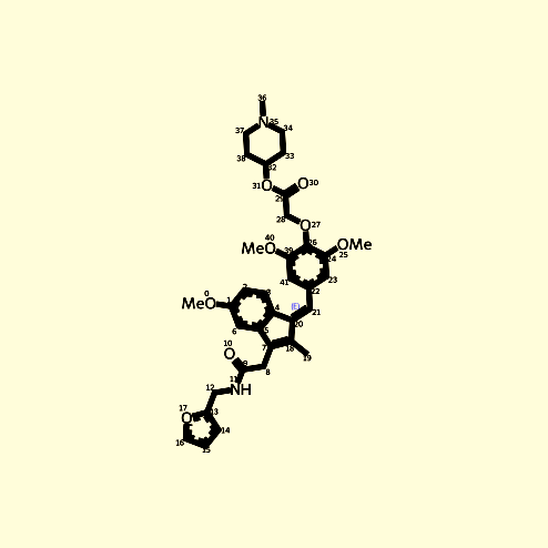 COc1ccc2c(c1)C(CC(=O)NCc1ccco1)=C(C)/C2=C/c1cc(OC)c(OCC(=O)OC2CCN(C)CC2)c(OC)c1